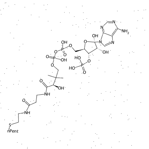 CCCCCSCCNC(=O)CCNC(=O)[C@H](O)C(C)(C)COP(=O)(O)OP(=O)(O)OC[C@H]1O[C@@](O)(n2cnc3c(N)ncnc32)[C@H](O)[C@@H]1OP(=O)(O)O